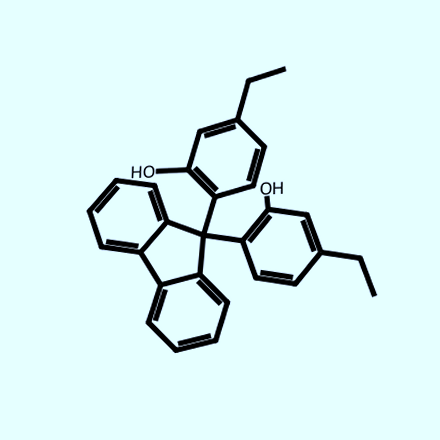 CCc1ccc(C2(c3ccc(CC)cc3O)c3ccccc3-c3ccccc32)c(O)c1